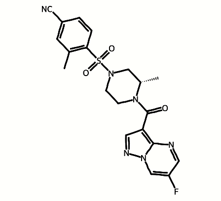 Cc1cc(C#N)ccc1S(=O)(=O)N1CCN(C(=O)c2cnn3cc(F)cnc23)[C@@H](C)C1